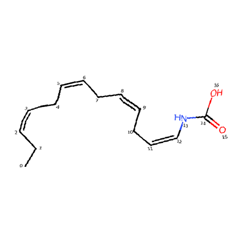 CC/C=C\C/C=C\C/C=C\C/C=C\NC(=O)O